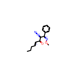 CCC/C=C/C(=O)C(=[N+]=[N-])/C(=N\OC)c1ccccc1